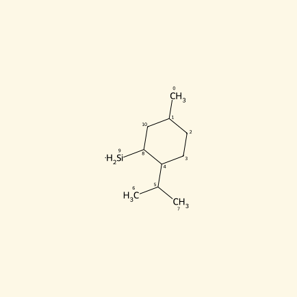 CC1CCC(C(C)C)C([SiH2])C1